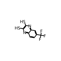 FC(F)(F)c1ccc2nc(S)c(S)nc2c1